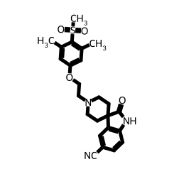 Cc1cc(OCCN2CCC3(CC2)C(=O)Nc2ccc(C#N)cc23)cc(C)c1S(C)(=O)=O